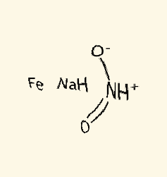 O=[NH+][O-].[Fe].[NaH]